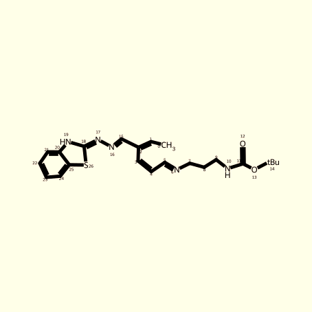 C/C=C(\C=C/C=N/CCCNC(=O)OC(C)(C)C)/C=N/N=c1/[nH]c2ccccc2s1